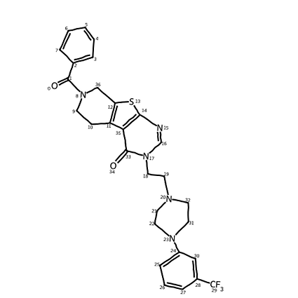 O=C(c1ccccc1)N1CCc2c(sc3ncn(CCN4CCN(c5cccc(C(F)(F)F)c5)CC4)c(=O)c23)C1